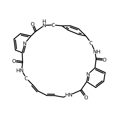 O=C1NC/C=C/C=C/CNC(=O)c2cccc(n2)C(=O)NCc2ccc(cc2)CNC(=O)c2cccc1n2